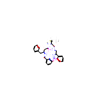 Cc1c(O)cccc1C(=O)NC(Cc1ccccc1)C(O)C(=O)N1CSC(C)(C)C1C(=O)NCc1n[nH]c2ccccc12